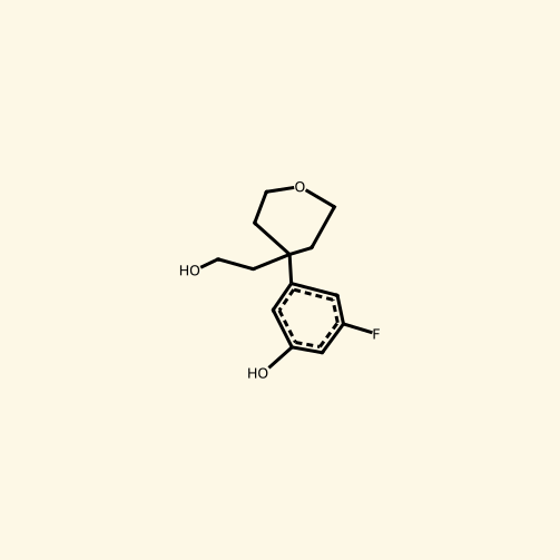 OCCC1(c2cc(O)cc(F)c2)CCOCC1